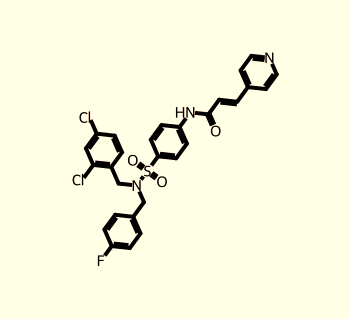 O=C(/C=C/c1ccncc1)Nc1ccc(S(=O)(=O)N(Cc2ccc(F)cc2)Cc2ccc(Cl)cc2Cl)cc1